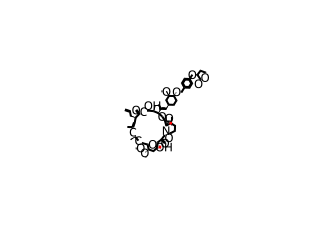 C=CC[C@@H]1/C=C(\C)C[C@H](C)C[C@H](OC)C2O[C@@](O)(C(=O)C(=O)N3CCCC[C@H]3C(=O)O[C@H](/C(C)=C/[C@@H]3CC[C@@H](OCc4ccc(O[C@H]5CCOC5=O)cc4)[C@H](OC)C3)[C@H](C)[C@@H](O)CC1=O)[C@H](C)C[C@@H]2OC